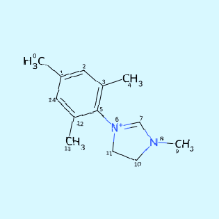 Cc1cc(C)c([N+]2=CN(C)CC2)c(C)c1